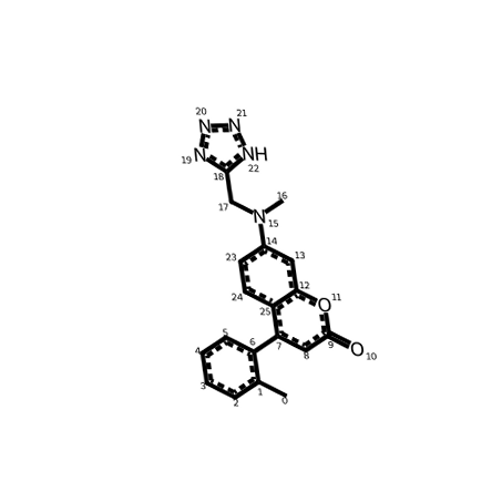 Cc1ccccc1-c1cc(=O)oc2cc(N(C)Cc3nnn[nH]3)ccc12